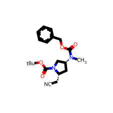 CN(C(=O)OCc1ccccc1)[C@@H]1C[C@H](CC#N)N(C(=O)OC(C)(C)C)C1